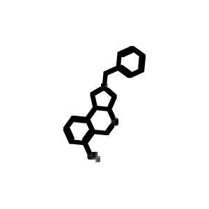 FC(F)(F)c1cccc2c1COC1CN(Cc3ccccc3)CC21